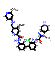 COc1cc(NCc2cnc(C(=O)Nc3cccc(-c4cccc(NC(=O)c5nc6c(n5C)CCNC6)c4Cl)c3C)cc2OC)ccn1